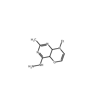 CCN1C=COC2C(NN)=NC(C)=NC21